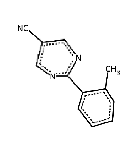 Cc1ccccc1-c1ncc(C#N)cn1